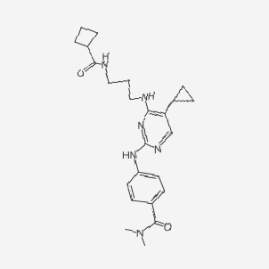 CN(C)C(=O)c1ccc(Nc2ncc(C3CC3)c(NCCCNC(=O)C3CCC3)n2)cc1